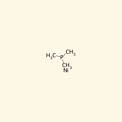 CP(C)C.[Ni]